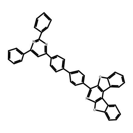 c1ccc(-c2cc(-c3ccc(-c4ccc(-c5nc6oc7ccccc7c6c6c5oc5ccccc56)cc4)cc3)nc(-c3ccccc3)n2)cc1